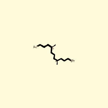 CC(=O)CCC[C@@H](C)CCC[C@H](C)CCCC(C)C